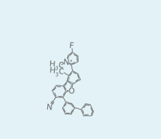 Cc1c(-c2ccc(F)c[n+]2C)ccc2oc3c(-c4cccc(-c5ccccc5)c4)c(C#N)ccc3c12